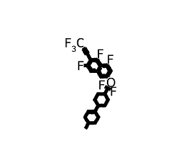 CC1CC=C(C2CCC(C(F)(F)Oc3cc(F)c4c(F)c(C#CC(F)(F)F)c(F)cc4c3)CC2)CC1